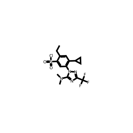 CCc1cc(C2CC2)c(-n2nc(C(F)(F)F)nc2N(C)C)cc1S(=O)(=O)Cl